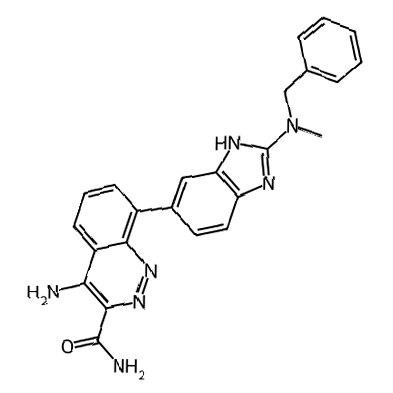 CN(Cc1ccccc1)c1nc2ccc(-c3cccc4c(N)c(C(N)=O)nnc34)cc2[nH]1